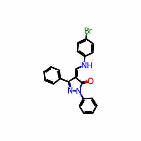 O=C1C(=CNc2ccc(Br)cc2)C(c2ccccc2)=NN1c1ccccc1